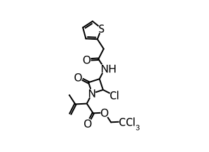 C=C(C)C(C(=O)OCC(Cl)(Cl)Cl)N1C(=O)C(NC(=O)Cc2cccs2)C1Cl